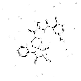 CC(C)[C@@H](NC(=O)c1cc(C(F)(F)F)ccc1F)C(=O)N1CCC2(CC1)C(=O)N(C)C(=O)N2c1ccncc1